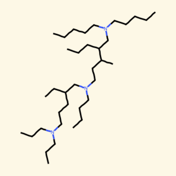 CCCCCN(CCCCC)CC(CCC)C(C)CCN(CCCC)CC(CC)CCCN(CCC)CCC